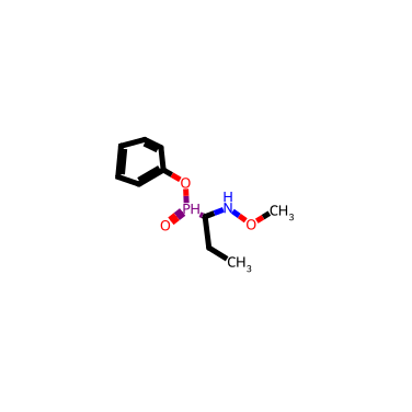 CCC(NOC)[PH](=O)Oc1ccccc1